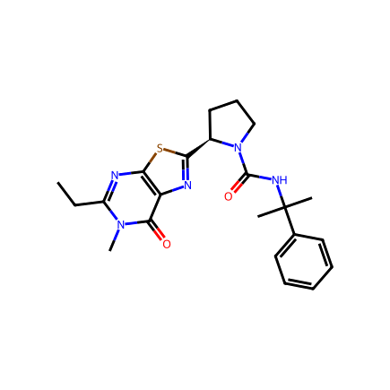 CCc1nc2sc([C@H]3CCCN3C(=O)NC(C)(C)c3ccccc3)nc2c(=O)n1C